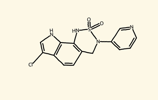 O=S1(=O)Nc2c(ccc3c(Cl)c[nH]c23)CN1c1cccnc1